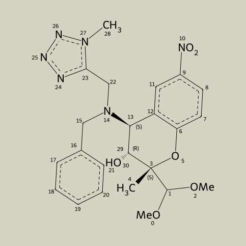 COC(OC)[C@@]1(C)Oc2ccc([N+](=O)[O-])cc2[C@H](N(Cc2ccccc2)Cc2nnnn2C)[C@H]1O